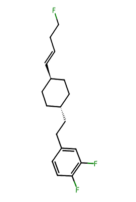 FCCC=C[C@H]1CC[C@H](CCc2ccc(F)c(F)c2)CC1